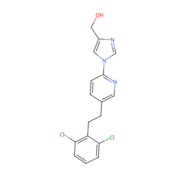 OCc1cn(-c2ccc(CCc3c(Cl)cccc3Cl)cn2)cn1